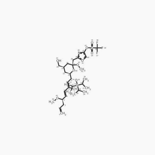 C=CC[C@H](/C=C/C(C)=C/[C@@H](O[Si](C(C)C)(C(C)C)C(C)C)[C@H]1C[C@@H](CO)C[C@](Cc2nc(OS(=O)(=O)C(F)(F)F)co2)(OC)O1)OC